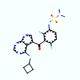 CCN(C)S(=O)(=O)Nc1ccc(F)c(C(=O)c2c[nH]c3ncnc(NC4CCC4)c23)c1F